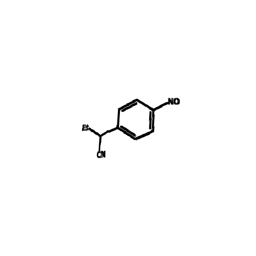 CCC(C#N)c1ccc(N=O)cc1